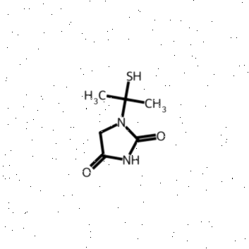 CC(C)(S)N1CC(=O)NC1=O